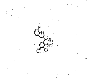 N=C(c1cnc2c(F)cccc2c1)c1ccc(Cl)c(Cl)c1S